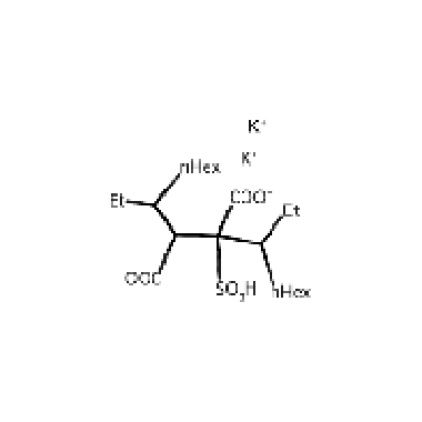 CCCCCCC(CC)C(C(=O)[O-])C(C(=O)[O-])(C(CC)CCCCCC)S(=O)(=O)O.[K+].[K+]